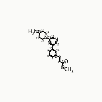 COC(=O)/C=C/c1cccc(-c2cncc(N3CCC(N)CC3)n2)c1